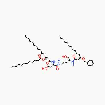 CCCCCCCCCCCC(=O)O[C@H](CCCCCCCCCCC)CC(=O)N[C@@H](CCO)C(=O)NCCC[C@H](CO)NC(=O)C[C@@H](CCCCCCCCCCC)OCc1ccccc1